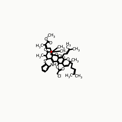 COC(=O)/C(C)=C\CC12OC(C)(C)C(C)C13Oc1c(CC=C(C)C)c4c(c(OC(=O)CCl)c1C1=C3C(Sc3ccccc3N1)C(C)C2=O)C=CC(C)(CCC=C(C)C)O4